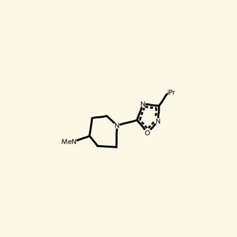 CNC1CCN(c2nc(C(C)C)no2)CC1